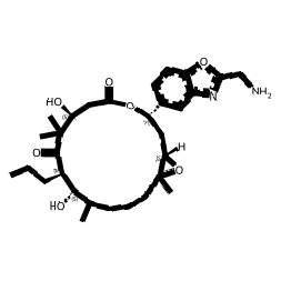 CCC[C@H]1C(=O)C(C)(C)[C@@H](O)CC(=O)O[C@H](c2ccc3oc(CN)nc3c2)C[C@@H]2OC2(C)CCCC(C)[C@@H]1O